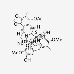 CCCN1CCc2cc(O)c(OC)cc2[C@@]12CS[C@@H]1c3c(OC(C)=O)c(C)c4c(c3[C@H](COC2=O)N2C1[C@@H]1c3c(cc(C)c(OC)c3O)C[C@@H]([C@@H]2C#N)N1C)OCO4